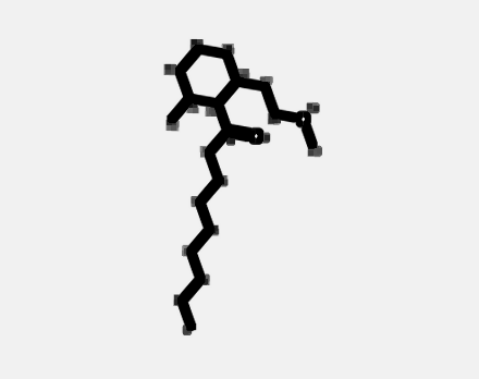 CCCCCCCCC(=O)C1C(C)CCCC1CCOC